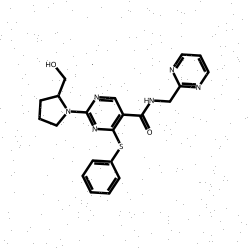 O=C(NCc1ncccn1)c1cnc(N2CCCC2CO)nc1Sc1ccccc1